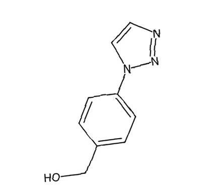 OCc1ccc(-n2ccnn2)cc1